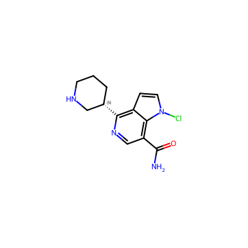 NC(=O)c1cnc([C@H]2CCCNC2)c2ccn(Cl)c12